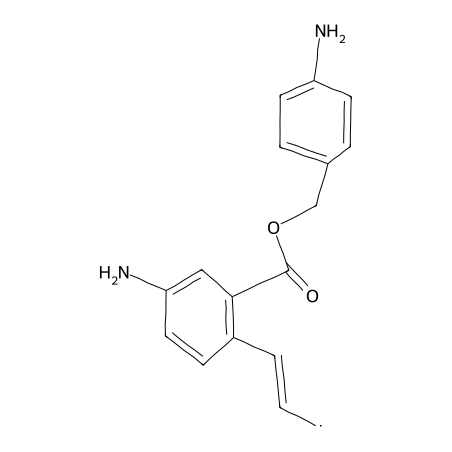 [CH2]/C=C/c1ccc(N)cc1C(=O)OCc1ccc(N)cc1